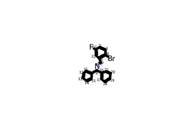 Fc1ccc(Br)c(/C=N/C(c2ccccc2)c2ccccc2)c1